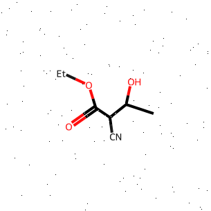 CCOC(=O)C(C#N)C(C)O